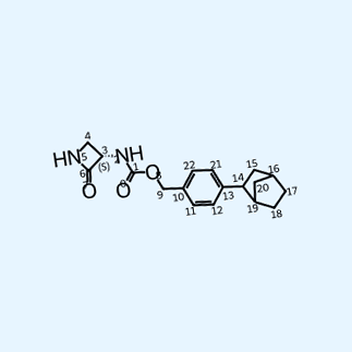 O=C(N[C@H]1CNC1=O)OCc1ccc(C2CC3CCC2C3)cc1